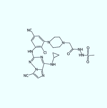 CS(=O)(=O)NNC(=O)CN1CCN(c2cc(C#N)cc(Nc3nc(NC4CC4)c4ncc(C#N)n4n3)c2Cl)CC1